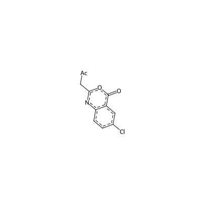 CC(=O)Cc1nc2ccc(Cl)cc2c(=O)o1